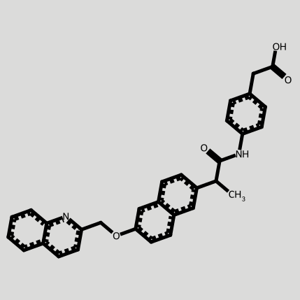 CC(C(=O)Nc1ccc(CC(=O)O)cc1)c1ccc2cc(OCc3ccc4ccccc4n3)ccc2c1